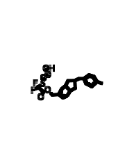 Cc1ccc(CC2CC3C4CC(COC(=O)C(F)(F)SOOO)C(C4)C3C2)cc1